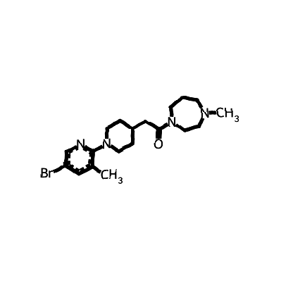 Cc1cc(Br)cnc1N1CCC(CC(=O)N2CCCN(C)CC2)CC1